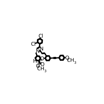 COC(=O)c1ccc(Cn2cc(-c3ccc(Cl)cc3Cl)nc2C=Cc2cc(C#Cc3ccc(OC)cc3)ccc2OC)cc1